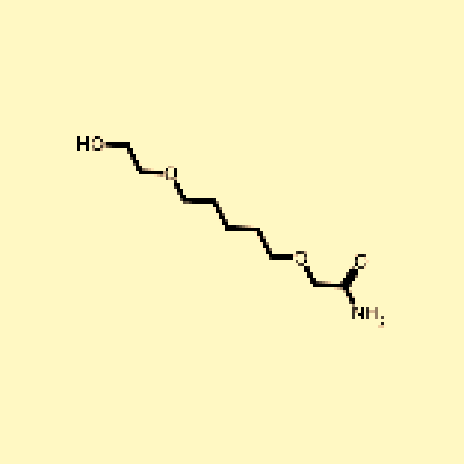 NC(=O)COCCCCCOCCO